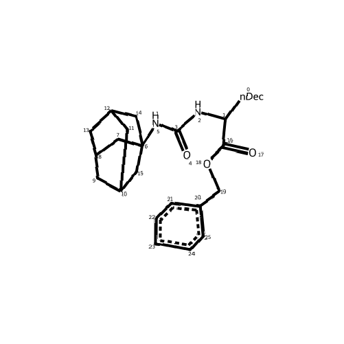 CCCCCCCCCCC(NC(=O)NC12CC3CC(CC(C3)C1)C2)C(=O)OCc1ccccc1